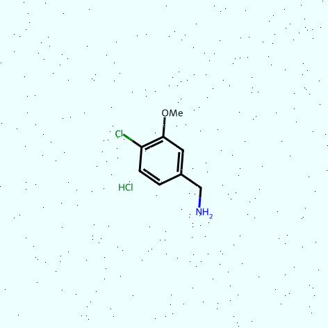 COc1cc(CN)ccc1Cl.Cl